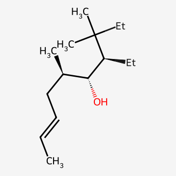 C/C=C/C[C@@H](C)[C@@H](O)[C@H](CC)C(C)(C)CC